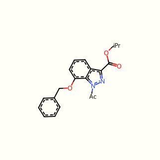 CC(=O)n1nc(C(=O)OC(C)C)c2cccc(OCc3ccccc3)c21